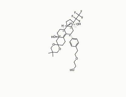 CC1(C)COC2(CCC3=C4[C@@H](CC[C@@]3(O)C2)[C@@H]2CC[C@@](O)(C(F)(F)C(F)(F)F)[C@@]2(C)C[C@@H]4c2ccc(CCOCCO)cc2)OC1